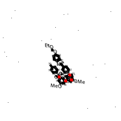 CCOCOc1ccc2nc(-c3ccc(N(C)C(=O)OC(C)(C)C)c(S(OS(=O)(=O)c4ccc(C)cc4)(c4ccc(OC)cc4)c4ccc(OC)cc4)c3)sc2c1